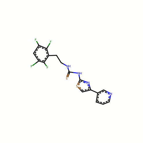 Fc1cc(F)c(F)c(CCNC(=S)Nc2nc(-c3cccnc3)cs2)c1F